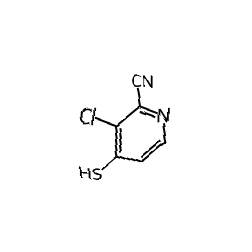 N#Cc1nccc(S)c1Cl